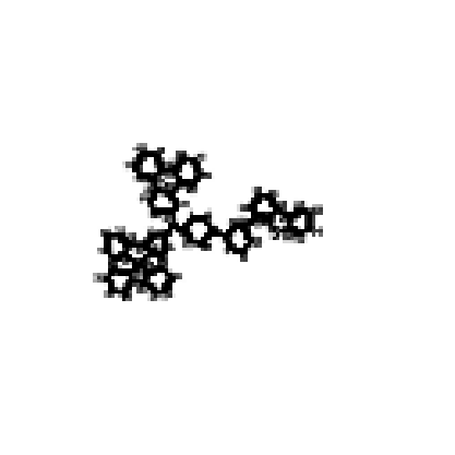 c1cc(-c2ccc(N(c3ccc4c(c3)-c3ccccc3C43c4ccccc4-c4ccccc43)c3ccc4c5ccccc5c5ccccc5c4c3)cc2)cc(-c2cccc3c2sc2ccccc23)c1